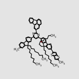 CCCCCCCCC1(CCCCCCCC)c2cc(C)ccc2-c2ccc(-c3cc(-c4ccc5c(c4)C(CCCCCCCC)(CCCCCCCC)c4cc(-c6cc7sc(C)cc7s6)ccc4-5)nc(-c4cc5c6c(cccc6c4)-c4ccccc4-5)n3)cc21